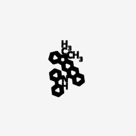 CC1(C)c2ccccc2-c2cc3c(Nc4ccccc4-c4ccccc4)c4ccccc4cc3cc21